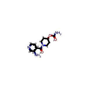 NC(=O)OC1CCN(C(=O)c2ccncc2N)CC1